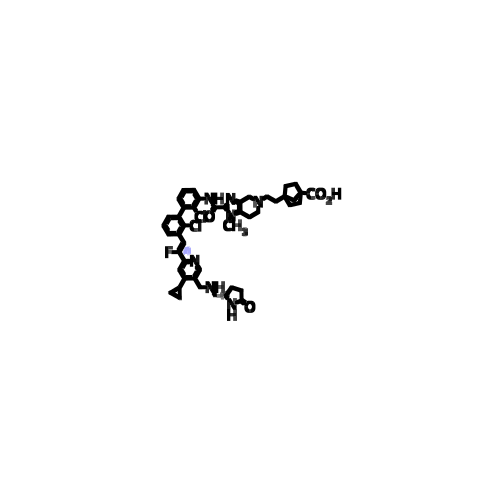 Cn1c(C(=O)Nc2cccc(-c3cccc(/C=C(\F)c4cc(C5CC5)c(CNC[C@@H]5CCC(=O)N5)cn4)c3Cl)c2Cl)nc2c1CCN(CCC13CCC(C(=O)O)(CC1)C3)C2